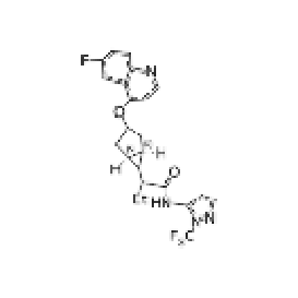 CCC(C(=O)Nc1ccnn1C(F)(F)F)C1[C@H]2CC(Oc3ccnc4ccc(F)cc34)C[C@@H]12